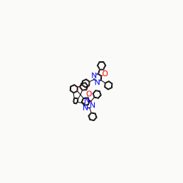 c1ccc(-c2nc(-c3ccccc3)nc(-c3cccc4c3C3(c5ccccc5Oc5ccccc53)c3c(-c5ccc(-c6nc(-c7ccccc7)c7oc8ccccc8c7n6)cc5)cccc3-4)n2)cc1